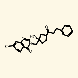 O=C(CCc1ccccc1)C1CCC(O)(Cn2cnc3cc(Cl)ccc3c2=O)C1